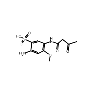 COc1cc(N)c(S(=O)(=O)O)cc1NC(=O)CC(C)=O